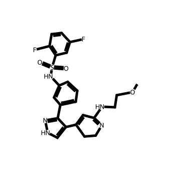 COCCNC1=NCCC(c2c[nH]nc2-c2cccc(NS(=O)(=O)c3cc(F)ccc3F)c2)=C1